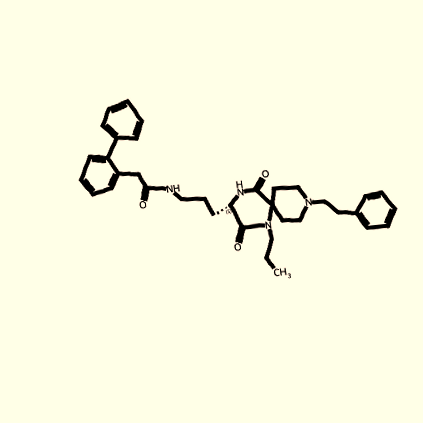 CCCN1C(=O)[C@H](CCCNC(=O)Cc2ccccc2-c2ccccc2)NC(=O)C12CCN(CCc1ccccc1)CC2